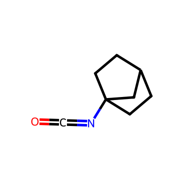 O=C=NC12CCC(CC1)C2